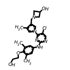 Cc1cn(-c2nc(Nc3cc(C)c(OCCO)c(C)c3)ncc2Cl)cc1CN1CC(O)C1